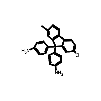 Cc1ccc2c(c1)C(c1ccc(N)cc1)(c1ccc(N)cc1)c1cc(Cl)ccc1-2